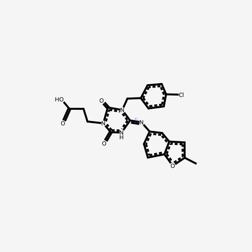 Cc1cc2cc(/N=c3\[nH]c(=O)n(CCC(=O)O)c(=O)n3Cc3ccc(Cl)cc3)ccc2o1